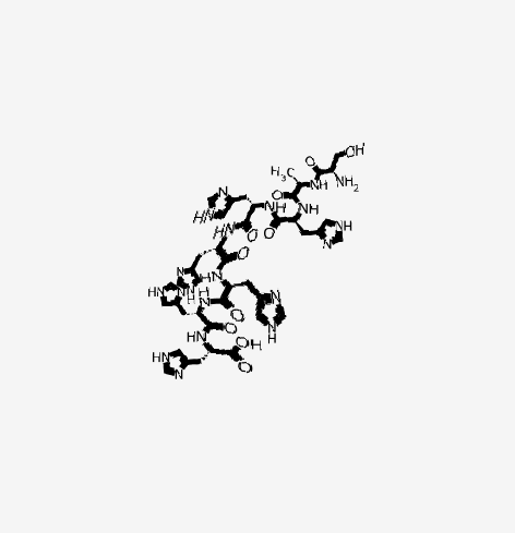 C[C@H](NC(=O)[C@@H](N)CO)C(=O)N[C@@H](Cc1c[nH]cn1)C(=O)N[C@@H](Cc1c[nH]cn1)C(=O)N[C@@H](Cc1c[nH]cn1)C(=O)N[C@@H](Cc1c[nH]cn1)C(=O)N[C@@H](Cc1c[nH]cn1)C(=O)N[C@@H](Cc1c[nH]cn1)C(=O)O